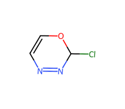 ClC1N=NC=CO1